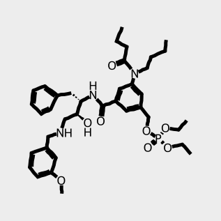 CCCCN(C(=O)CCC)c1cc(COP(=O)(OCC)OCC)cc(C(=O)N[C@@H](Cc2ccccc2)[C@@H](O)CNCc2cccc(OC)c2)c1